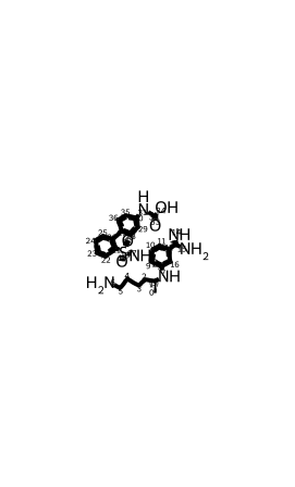 C[C@@H](CCCCN)Nc1cccc(C(=N)N)c1.NS(=O)(=O)c1ccccc1-c1ccc(NC(=O)O)cc1